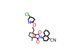 CC12CCC(CCOc3ccc(Cl)cn3)(O1)C1C(=O)N(c3ccc(C#N)c4ccccc34)C(=O)C12